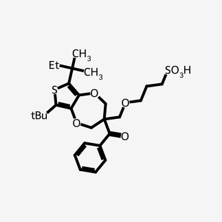 CCC(C)(C)c1sc(C(C)(C)C)c2c1OCC(COCCCS(=O)(=O)O)(C(=O)c1ccccc1)CO2